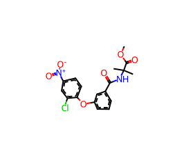 COC(=O)C(C)(C)NC(=O)c1cccc(Oc2ccc([N+](=O)[O-])cc2Cl)c1